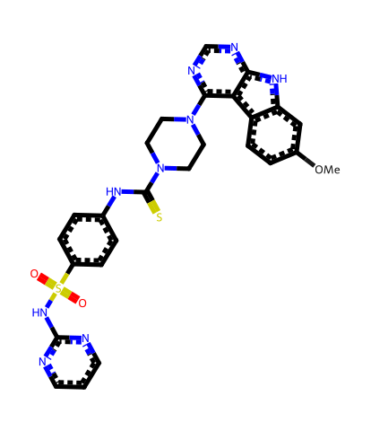 COc1ccc2c(c1)[nH]c1ncnc(N3CCN(C(=S)Nc4ccc(S(=O)(=O)Nc5ncccn5)cc4)CC3)c12